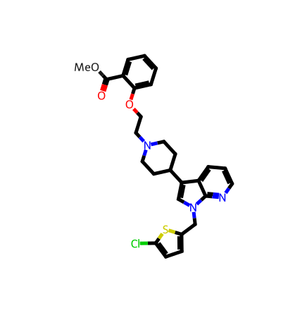 COC(=O)c1ccccc1OCCN1CCC(c2cn(Cc3ccc(Cl)s3)c3ncccc23)CC1